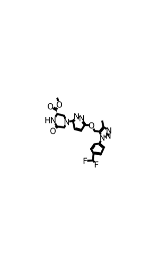 COC(=O)[C@@H]1CN(c2ccc(OCc3c(C)nnn3-c3ccc(C(F)F)cc3)nn2)CC(=O)N1